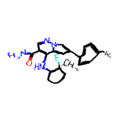 CC(=O)c1ccc(-c2cc3c(N[C@@H]4CCC[C@]4(C)F)c(C(N)=O)cnn3c2)cc1